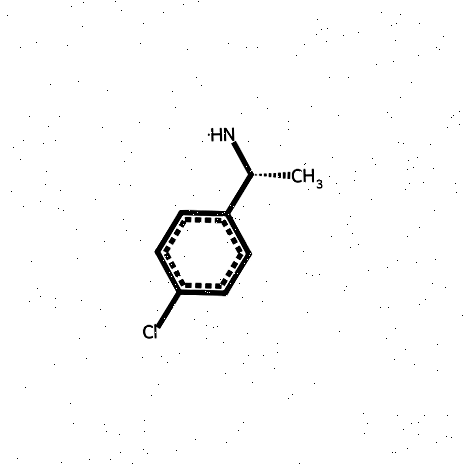 C[C@@H]([NH])c1ccc(Cl)cc1